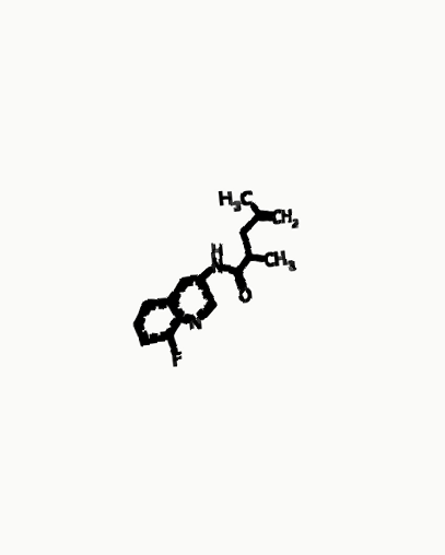 C=C(C)CC(C)C(=O)Nc1cnc2c(F)cccc2c1